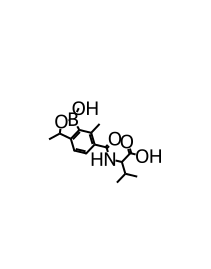 Cc1c(C(=O)NC(C(=O)O)C(C)C)ccc2c1B(O)OC2C